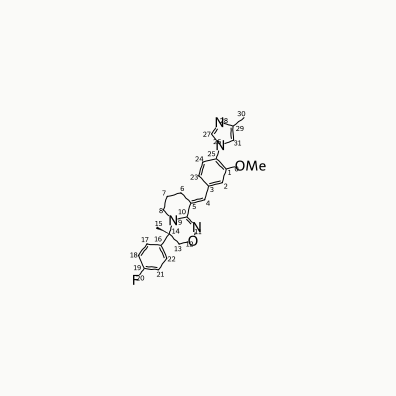 COc1cc(/C=C2\CCCN3C2=NOC[C@]3(C)c2ccc(F)cc2)ccc1-n1cnc(C)c1